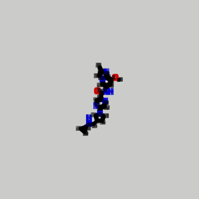 COc1cc(NC(=O)c2cnc(N3CC[C@@H](CNC4CC4)C3)cn2)cn2cc(C)nc12